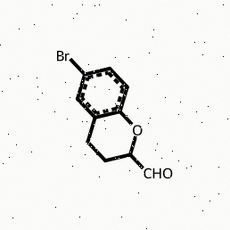 O=CC1CCc2cc(Br)ccc2O1